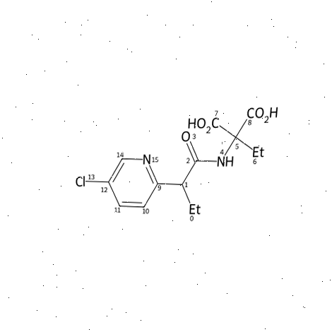 CCC(C(=O)NC(CC)(C(=O)O)C(=O)O)c1ccc(Cl)cn1